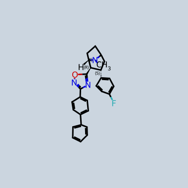 CN1C2CC[C@H]1[C@H](c1nc(-c3ccc(-c4ccccc4)cc3)no1)[C@@H](c1ccc(F)cc1)C2